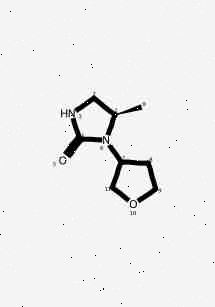 C[C@@H]1CNC(=O)N1C1CCOC1